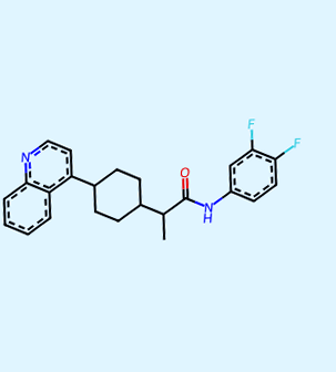 CC(C(=O)Nc1ccc(F)c(F)c1)C1CCC(c2ccnc3ccccc23)CC1